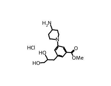 COC(=O)c1cc(CC(O)CO)cc(N2CCC(N)CC2)c1.Cl